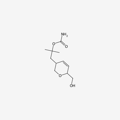 CC(C)(CC1C=CC(CO)OC1)OC(N)=O